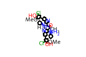 COc1cc(-c2ccc3ncc(C(C)C(=O)C(C)c4cnc5ccc(-c6cc(Cl)c(O)c(OC)c6)cc5c4N(N)C4CCCCC4)c(N(N)C4CCCCC4)c3c2)cc(Cl)c1O